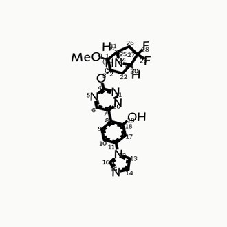 CO[C@@H]1[C@@H](Oc2ncc(-c3ccc(-n4ccnc4)cc3O)nn2)C[C@H]2N[C@@H]1CC2(F)F